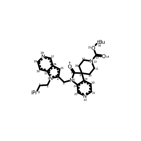 CC(C)CCn1c(CN2C(=O)C3(CCN(C(=O)OC(C)(C)C)CC3)c3ccncc32)cc2cnccc21